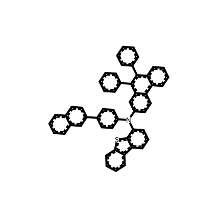 c1ccc(-c2c(-c3ccccc3)c3cc(N(c4ccc(-c5ccc6ccccc6c5)cc4)c4cccc5c4sc4ccccc45)ccc3c3ccccc23)cc1